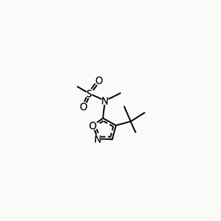 CN(c1oncc1C(C)(C)C)S(C)(=O)=O